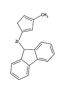 CC1=CC[C]([Zr][CH]2c3ccccc3-c3ccccc32)=C1